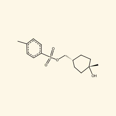 Cc1ccc(S(=O)(=O)OC[C@H]2CC[C@@](C)(O)CC2)cc1